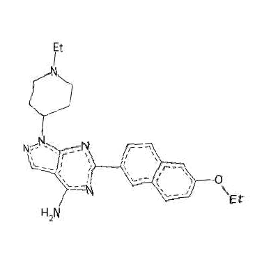 CCOc1ccc2cc(-c3nc(N)c4cnn(C5CCN(CC)CC5)c4n3)ccc2c1